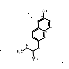 CNC(C)Cc1ccc2cc(O)ccc2c1